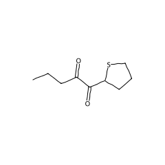 CCCC(=O)C(=O)C1CCCS1